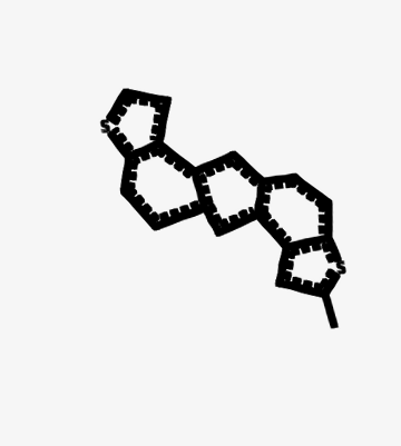 Cc1cc2c(ccc3cc4c(ccc5sccc54)cc32)s1